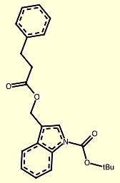 CC(C)(C)OC(=O)n1cc(COC(=O)CCc2ccccc2)c2ccccc21